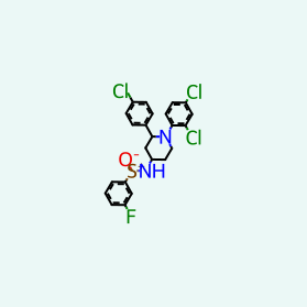 [O-][S+](NC1CCN(c2ccc(Cl)cc2Cl)C(c2ccc(Cl)cc2)C1)c1cccc(F)c1